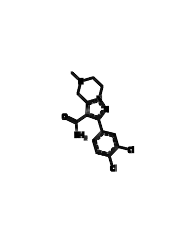 CN1CCn2nc(-c3ccc(Cl)c(Cl)c3)c(C(N)=O)c2C1